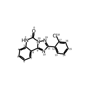 O=c1[nH]c2ccccc2c2nc(-c3ccccc3Cl)nn12